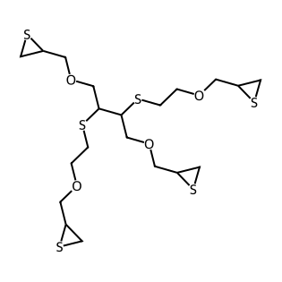 C(CSC(COCC1CS1)C(COCC1CS1)SCCOCC1CS1)OCC1CS1